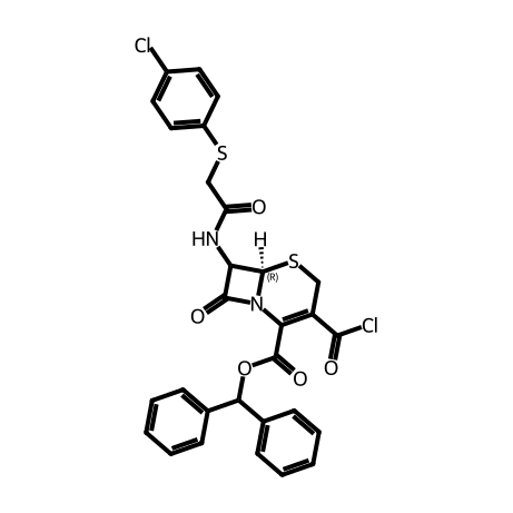 O=C(CSc1ccc(Cl)cc1)NC1C(=O)N2C(C(=O)OC(c3ccccc3)c3ccccc3)=C(C(=O)Cl)CS[C@H]12